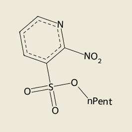 CCCCCOS(=O)(=O)c1cccnc1[N+](=O)[O-]